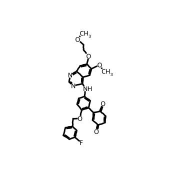 COCCOc1cc2ncnc(Nc3ccc(OCc4cccc(F)c4)c(C4=CC(=O)C=CC4=O)c3)c2cc1OC